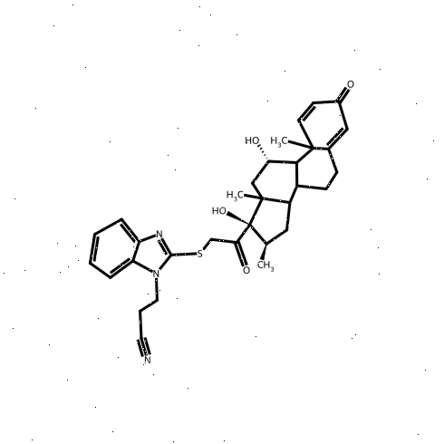 C[C@@H]1CC2C3CCC4=CC(=O)C=CC4(C)C3[C@@H](O)CC2(C)[C@@]1(O)C(=O)CSc1nc2ccccc2n1CCC#N